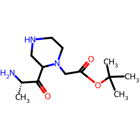 C[C@H](N)C(=O)C1CNCCN1CC(=O)OC(C)(C)C